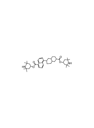 CC1(C)CC(OC(=O)c2cccc3c(C4CCC5CC(C(=O)OC6CC(C)(C)NC(C)(C)C6)CCC5C4)cccc23)CC(C)(C)N1